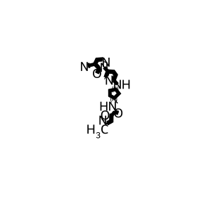 Cc1cc(C(=O)NC[C@@H]2CC[C@H](Nc3ccc(-n4nccc(C#N)c4=O)cn3)C2)on1